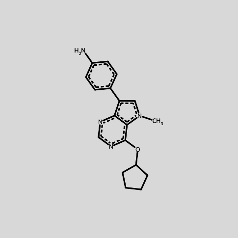 Cn1cc(-c2ccc(N)cc2)c2ncnc(OC3CCCC3)c21